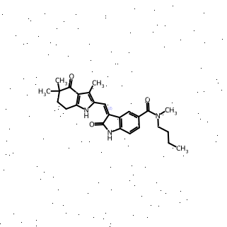 CCCCN(C)C(=O)c1ccc2c(c1)/C(=C/c1[nH]c3c(c1C)C(=O)C(C)(C)CC3)C(=O)N2